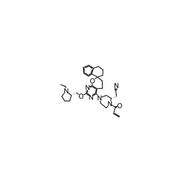 C=CC(=O)N1CCN(c2nc(OC[C@@H]3CCCN3CC)nc3c2CCC2(CCCc4ccccc42)O3)C[C@@H]1CC#N